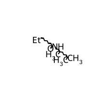 CC/C=C\CC/C=C/C(=O)NC/C=C(\C)CCC=C(C)C